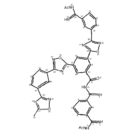 CC(=O)NC(=N)c1cccc(C(=N)NC(=O)c2cc(-c3nc(-c4cccc(C(=N)NC(C)=O)c4)no3)cc(-c3nc(-c4cccc(-c5noc(C)n5)c4)no3)c2)c1